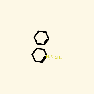 C1=CCCCC1.C1=CCCCC1.S.S